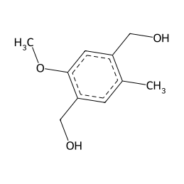 COc1cc(CO)c(C)cc1CO